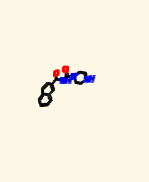 O=C(NC(=O)N1CCNCC1)c1ccc2ccccc2c1